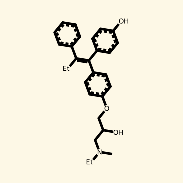 CCC(=C(c1ccc(O)cc1)c1ccc(OCC(O)CN(C)CC)cc1)c1ccccc1